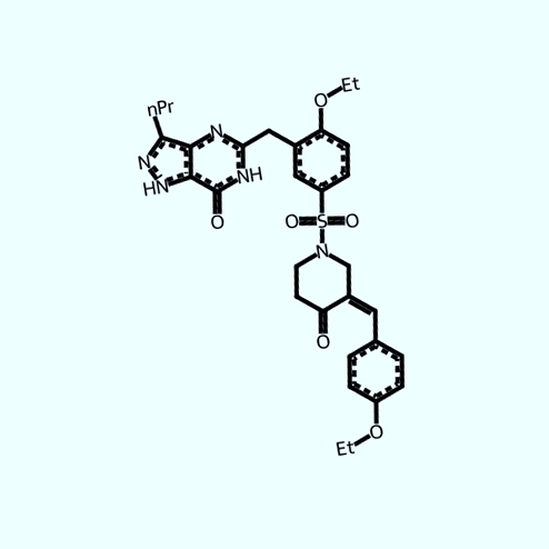 CCCc1n[nH]c2c(=O)[nH]c(Cc3cc(S(=O)(=O)N4CCC(=O)/C(=C\c5ccc(OCC)cc5)C4)ccc3OCC)nc12